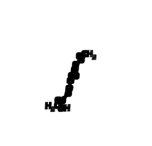 C=CC(=O)OCCOc1ccc(C(=O)Oc2ccc(-c3ccc(OCCCOC(=O)C(=C)CO)cc3)cc2)cc1